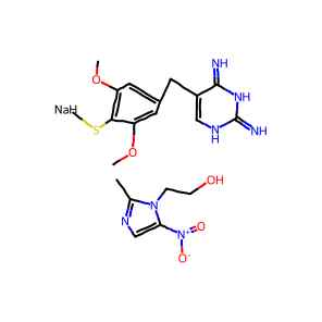 COc1cc(Cc2c[nH]c(=N)[nH]c2=N)cc(OC)c1SC.Cc1ncc([N+](=O)[O-])n1CCO.[NaH]